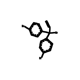 C=CC(Br)(c1ccc(Br)cc1)c1ccc(Br)cc1